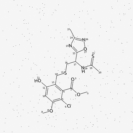 COC(=O)c1c(Cl)c(OC)cc(O)c1CSCC(NC(C)=S)c1nc(C)no1